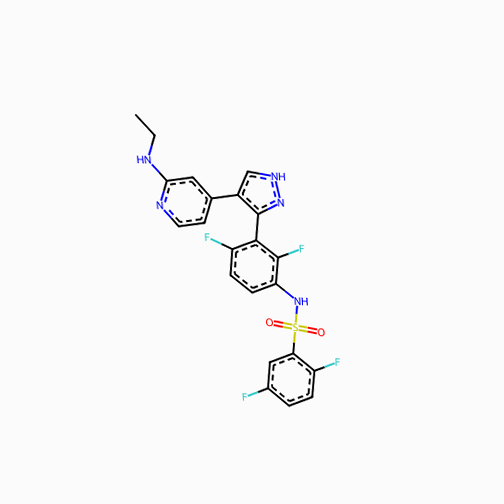 CCNc1cc(-c2c[nH]nc2-c2c(F)ccc(NS(=O)(=O)c3cc(F)ccc3F)c2F)ccn1